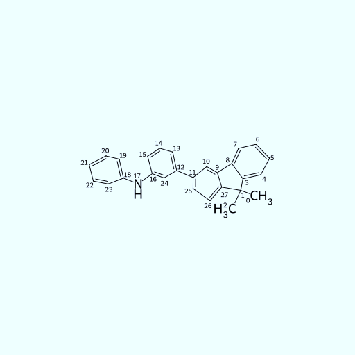 CC1(C)c2ccccc2-c2cc(-c3cccc(Nc4ccccc4)c3)ccc21